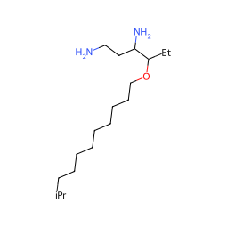 CCC(OCCCCCCCCCC(C)C)C(N)CCN